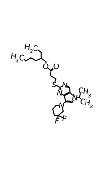 CCCCC(CC)COC(=O)CCSc1ncc2c(n1)c(N1CCCC(F)(F)C1)cn2C(C)C